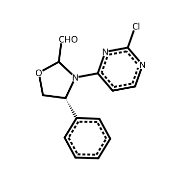 O=CC1OC[C@@H](c2ccccc2)N1c1ccnc(Cl)n1